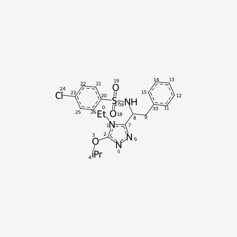 CCn1c(OC(C)C)nnc1C(Cc1ccccc1)NS(=O)(=O)c1ccc(Cl)cc1